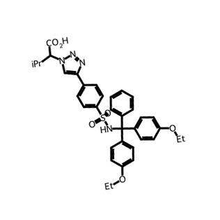 CCOc1ccc(C(NS(=O)(=O)c2ccc(-c3cn(C(C(=O)O)C(C)C)nn3)cc2)(c2ccccc2)c2ccc(OCC)cc2)cc1